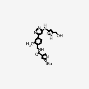 Cc1cc(-c2cc(Nc3cc(CO)[nH]n3)ncn2)ccc1CNC(=O)c1cnn(C(C)(C)C)c1